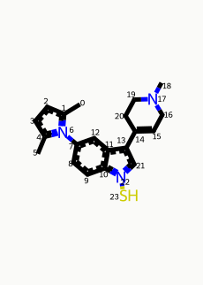 Cc1ccc(C)n1-c1ccc2c(c1)c(C1=CCN(C)CC1)cn2S